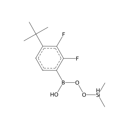 C[SiH](C)OOB(O)c1ccc(C(C)(C)C)c(F)c1F